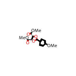 COC(=O)[C@@H]1OC(c2ccc(OC)cc2)O[C@H]1C(=O)OC